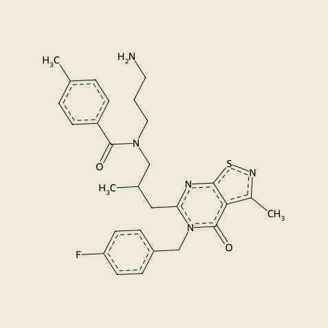 Cc1ccc(C(=O)N(CCCN)CC(C)Cc2nc3snc(C)c3c(=O)n2Cc2ccc(F)cc2)cc1